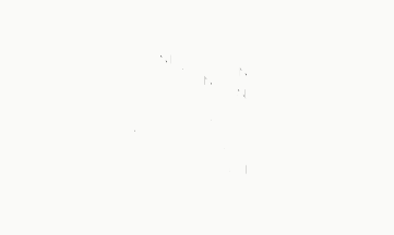 CC1CC(c2cc(N)cc(C(F)(F)F)c2)(c2ncnn2C)C1